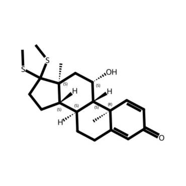 CSC1(SC)CC[C@H]2[C@@H]3CCC4=CC(=O)C=C[C@]4(C)[C@H]3[C@@H](O)C[C@@]21C